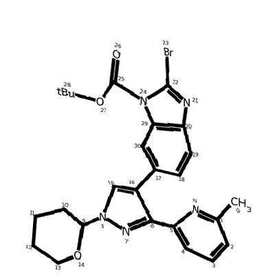 Cc1cccc(-c2nn(C3CCCCO3)cc2-c2ccc3nc(Br)n(C(=O)OC(C)(C)C)c3c2)n1